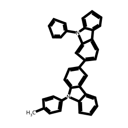 Cc1ccc(-n2c3ccccc3c3cc(-c4ccc5c6ccccc6n(-c6ccccc6)c5c4)ccc32)cc1